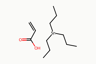 C=CC(=O)O.CC[CH2][Sn]([CH2]CC)[CH2]CC